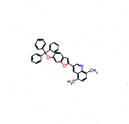 Cc1ccc(C)c2ncc(-c3cc4ccc(OC(c5ccccc5)(c5ccccc5)c5ccccc5)cc4o3)cc12